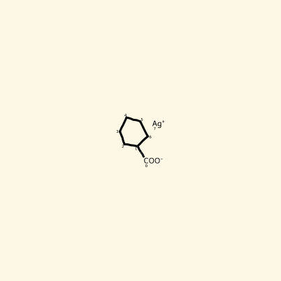 O=C([O-])C1CCCCC1.[Ag+]